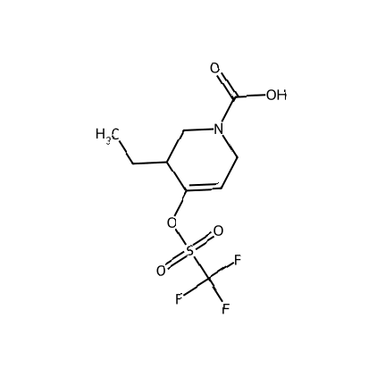 CCC1CN(C(=O)O)CC=C1OS(=O)(=O)C(F)(F)F